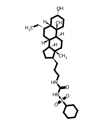 CC[C@H]1C[C@@H]2[C@H](CC[C@]3(C)[C@@H](CCCNC(=O)NS(=O)(=O)C4CCCCC4)CC[C@@H]23)[C@@]2(C)CC[C@@H](O)C[C@@H]12